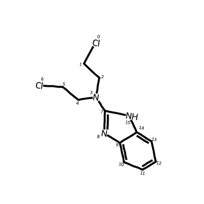 ClCCN(CCCl)c1nc2ccccc2[nH]1